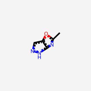 Cc1nc2[nH]ncc2o1